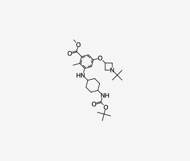 COC(=O)c1cc(OC2CN(C(C)(C)C)C2)cc(NC2CCC(NC(=O)OC(C)(C)C)CC2)c1C